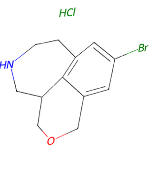 Brc1cc2c3c(c1)COCC3CNCC2.Cl